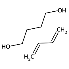 C=CC=C.OCCCCO